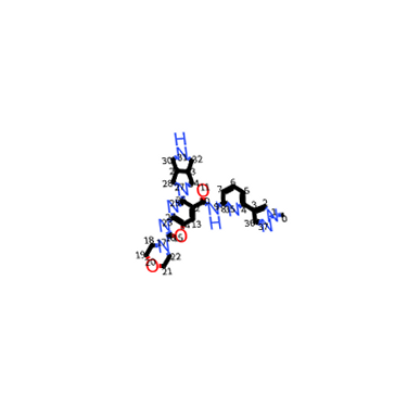 Cn1cc(-c2cccc(NC(=O)c3cc4oc(N5CCOCC5)nc4nc3N3CC4CNCC4C3)n2)cn1